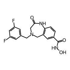 O=C1CN(Cc2cc(F)cc(F)c2)Cc2cc(C(=O)NO)ccc2N1